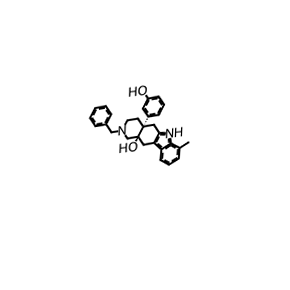 Cc1cccc2c3c([nH]c12)C[C@]1(c2cccc(O)c2)CCN(Cc2ccccc2)C[C@@]1(O)C3